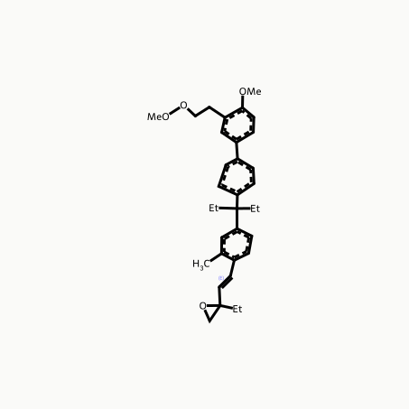 CCC1(/C=C/c2ccc(C(CC)(CC)c3ccc(-c4ccc(OC)c(CCOOC)c4)cc3)cc2C)CO1